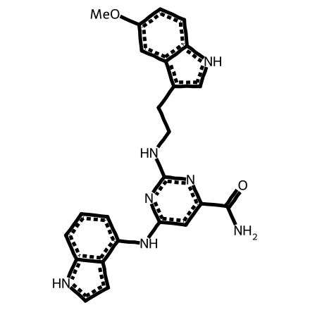 COc1ccc2[nH]cc(CCNc3nc(Nc4cccc5[nH]ccc45)cc(C(N)=O)n3)c2c1